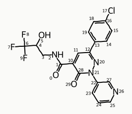 O=C(NCC(O)C(F)(F)F)c1cc(-c2ccc(Cl)cc2)nn(-c2cccnc2)c1=O